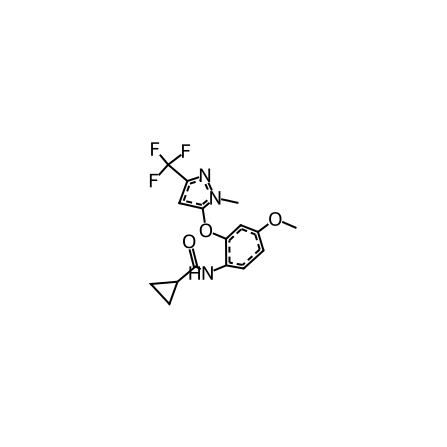 COc1ccc(NC(=O)C2CC2)c(Oc2cc(C(F)(F)F)nn2C)c1